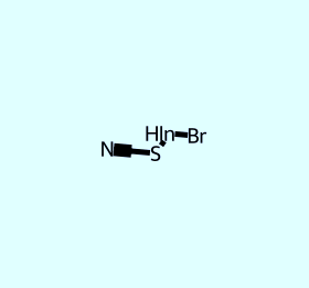 N#C[S][InH][Br]